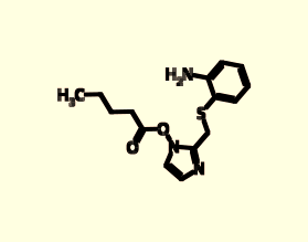 CCCCC(=O)On1ccnc1CSc1ccccc1N